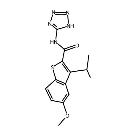 COc1ccc2sc(C(=O)Nc3nnn[nH]3)c(C(C)C)c2c1